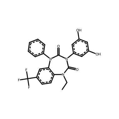 CCN1C(=O)N(c2cc(O)cc(O)c2)C(=O)N(c2ccccc2)c2cc(C(F)(F)F)ccc21